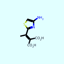 CC(=C(C(=O)O)C(=O)O)c1nc(N)cs1